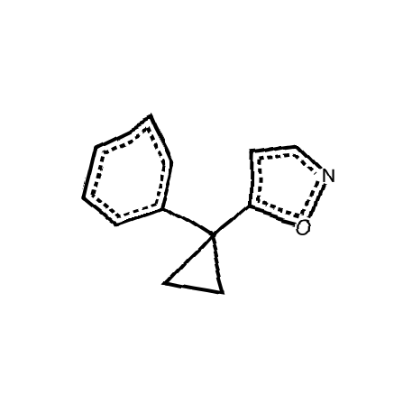 c1ccc(C2(c3ccno3)CC2)cc1